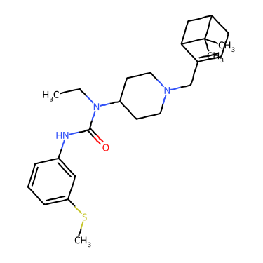 CCN(C(=O)Nc1cccc(SC)c1)C1CCN(CC2=CCC3CC2C3(C)C)CC1